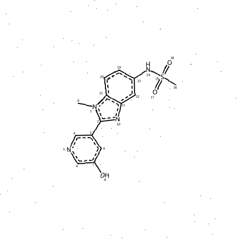 Cn1c(-c2cncc(O)c2)nc2cc(NS(C)(=O)=O)ccc21